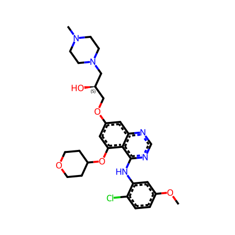 COc1ccc(Cl)c(Nc2ncnc3cc(OC[C@@H](O)CN4CCN(C)CC4)cc(OC4CCOCC4)c23)c1